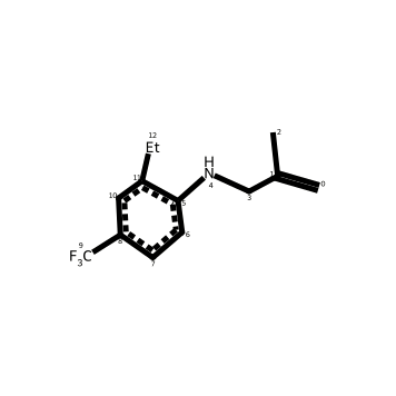 C=C(C)CNc1ccc(C(F)(F)F)cc1CC